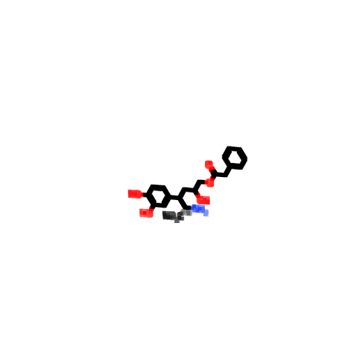 N[C@H](C(=O)O)C(CC(O)COC(=O)Cc1ccccc1)c1ccc(O)c(O)c1